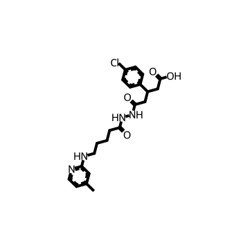 Cc1ccnc(NCCCCC(=O)NNC(=O)CC(CC(=O)O)c2ccc(Cl)cc2)c1